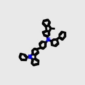 CC1c2ccccc2-c2ccc(N(c3ccc(-c4ccc5c(c4)c4ccccc4n5-c4ccccc4)cc3)c3cccc(-c4ccccc4)c3)cc21